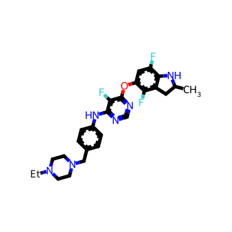 CCN1CCN(Cc2ccc(Nc3ncnc(Oc4cc(F)c5c(c4F)CC(C)N5)c3F)cc2)CC1